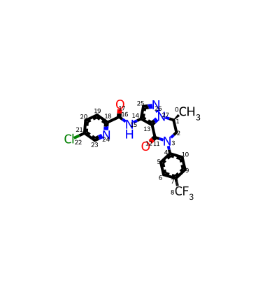 C[C@H]1CN(c2ccc(C(F)(F)F)cc2)C(=O)c2c(NC(=O)c3ccc(Cl)cn3)cnn21